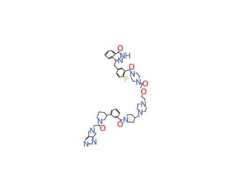 O=C(COCCN1CCN(CC2CCN(C(=O)c3cccc(C4CCCN(C(=O)CN5Cc6cncnc6C5)C4)c3)CC2)CC1)N1CCN(C(=O)c2cc(Cc3n[nH]c(=O)c4ccccc34)ccc2F)CC1